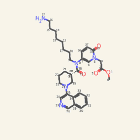 COC(=O)Cn1cc(N(CCCCCCCCN)C(=O)[C@H]2CCCN(c3cncc4ccccc34)C2)ccc1=O